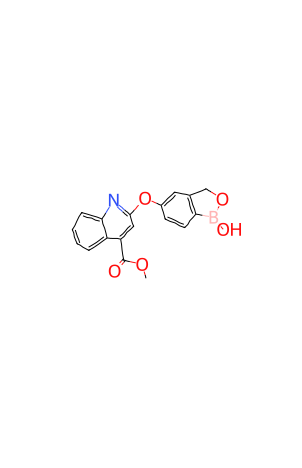 COC(=O)c1cc(Oc2ccc3c(c2)COB3O)nc2ccccc12